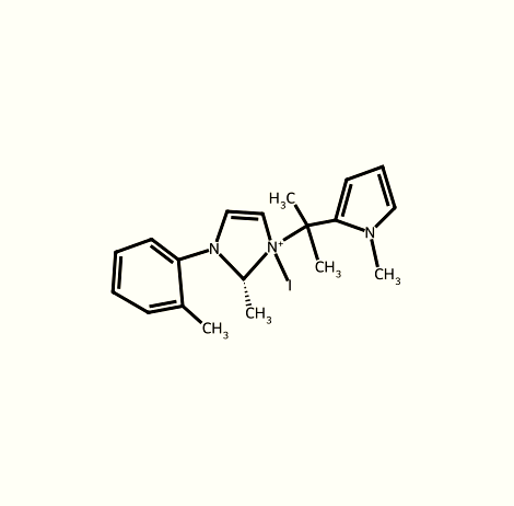 Cc1ccccc1N1C=C[N+](I)(C(C)(C)c2cccn2C)[C@@H]1C